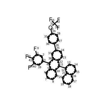 Fc1cc(-c2c3ccccc3c(-c3cccc4ccccc34)c3ccc(-c4ccc(OC(F)(F)F)cc4)cc23)cc(F)c1F